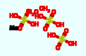 O.O.O=S(=O)(O)O.O=S(=O)(O)O.O=S(=O)(O)O.[Mo]